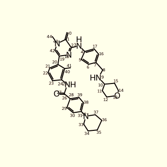 C=C1C(Nc2ccc(CNC3CCOCC3)cc2)=NC(c2cccc(NC(=O)c3ccc(N4CCCCC4)cc3)c2C)=CN1C